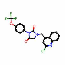 O=C1CN(Cc2cc(Cl)nc3ccccc23)C(=O)N1c1ccc(OC(F)(F)F)cc1